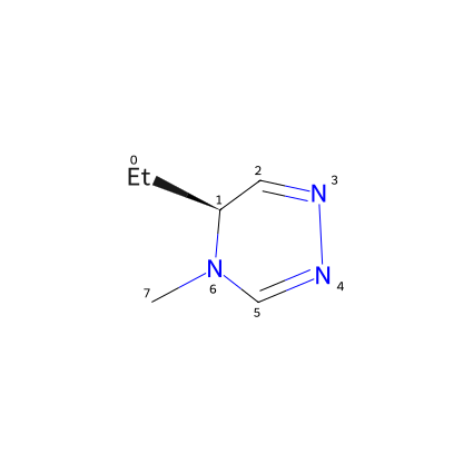 CC[C@H]1C=NN=CN1C